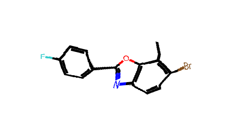 Cc1c(Br)ccc2nc(-c3ccc(F)cc3)oc12